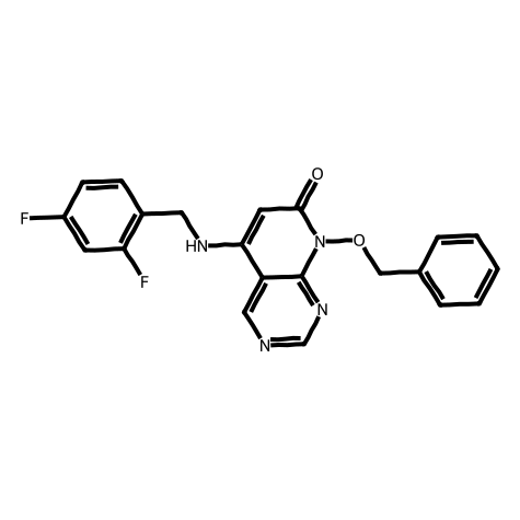 O=c1cc(NCc2ccc(F)cc2F)c2cncnc2n1OCc1ccccc1